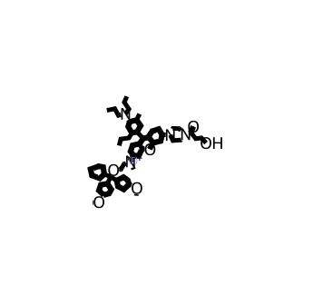 CCCc1cc(N(CCC)CCC)c(C)cc1-c1c2cc/c(=[N+](/C)CCOC(c3ccccc3)(c3ccc(OC)cc3)c3ccc(OC)cc3)cc-2oc2cc(N3CCN(C(=O)CCO)CC3)ccc12